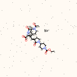 CCOC(=O)N1CCC(N2CC/C(=C\C3=C(C(=O)[O-])N4C(=O)[C@@H]5[C@H]4C3CCN5C(C)=O)C2=O)CC1.[Na+]